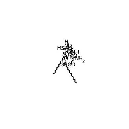 CCCCCCCCCCCCCC(=O)O[C@H](CCCCCCCCC)CC(=O)OC[C@H]1O[C@@H](S)[C@H](NC(C)=O)[C@H](OC(C)C(=O)N[C@@H](C)C(=O)N[C@H](CCC(=O)O)C(N)=O)[C@@H]1O